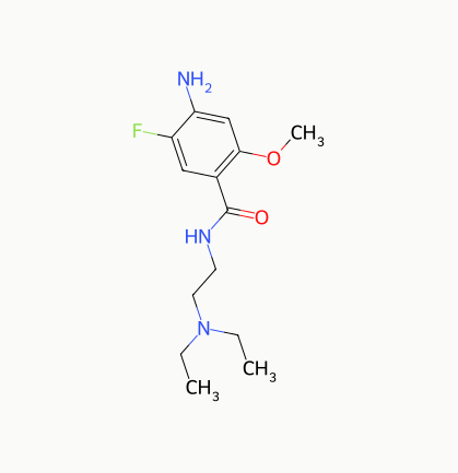 CCN(CC)CCNC(=O)c1cc(F)c(N)cc1OC